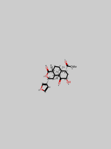 COC(=O)[C@@H]1C[C@@H](O)C(=O)[C@H]2[C@@]1(C)CC[C@H]1C(=O)O[C@@H](c3ccoc3)C[C@]21C